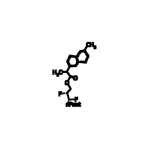 CCCCC[C@@H](F)[C@H](F)COC(=O)[C@@H](C)c1ccc2cc(C)ccc2c1